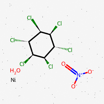 Cl[C@H]1[C@H](Cl)[C@@H](Cl)[C@@H](Cl)[C@H](Cl)[C@H]1Cl.O.O=[N+]([O-])[O-].[Ni]